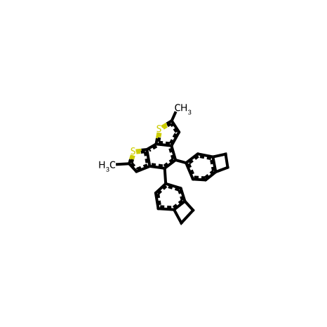 Cc1cc2c(-c3ccc4c(c3)CC4)c(-c3ccc4c(c3)CC4)c3cc(C)sc3c2s1